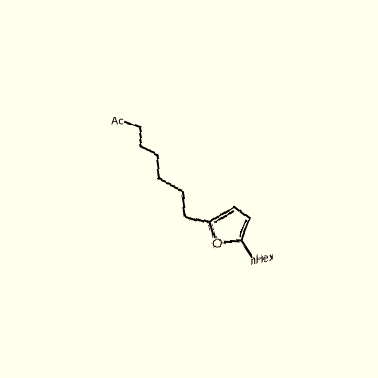 CCCCCCc1ccc(CCCCCCC(C)=O)o1